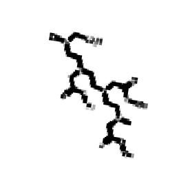 CCN(CCN(CCN(CCN(C)CC(=O)OC(C)(C)C)CC(=O)OC(C)(C)C)CC(=O)OC(C)(C)C)CC(=O)O